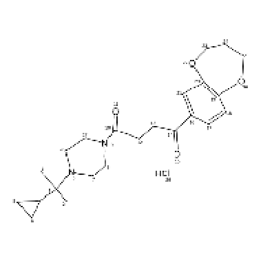 CC(C)(C1CC1)N1CCN(C(=O)CCC(=O)c2ccc3c(c2)OCCCO3)CC1.Cl